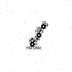 COc1cc2c(Nc3nc4ccc(NC(=O)Nc5ccc(Cl)c(C(F)(F)F)c5)cc4s3)ncnc2cc1O